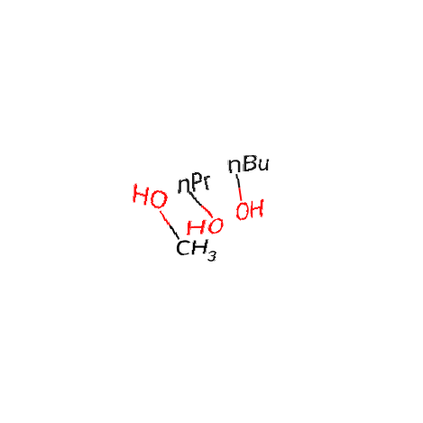 CCCCO.CCCO.CO